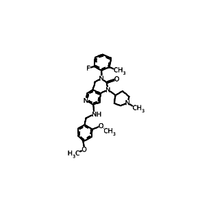 COc1ccc(CNc2cc3c(cn2)CN(c2c(C)cccc2F)C(=O)N3C2CCN(C)CC2)c(OC)c1